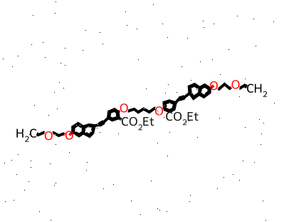 C=CCOCCCOc1ccc2cc(C#Cc3ccc(OCCCCCCOc4ccc(C#Cc5ccc6cc(OCCCOCC=C)ccc6c5)cc4C(=O)OCC)c(C(=O)OCC)c3)ccc2c1